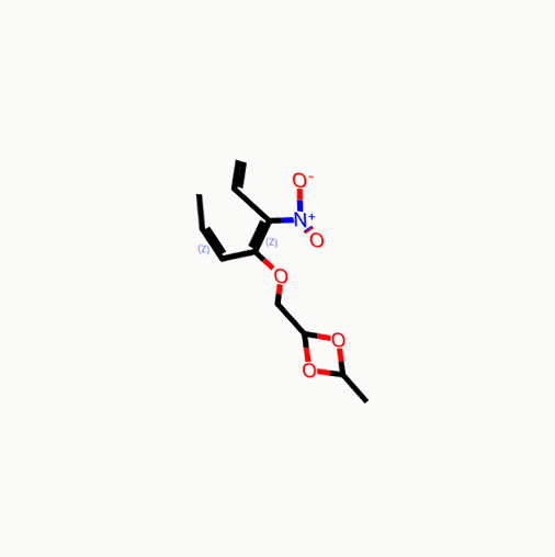 C=C/C(=C(\C=C/C)OCC1OC(C)O1)[N+](=O)[O-]